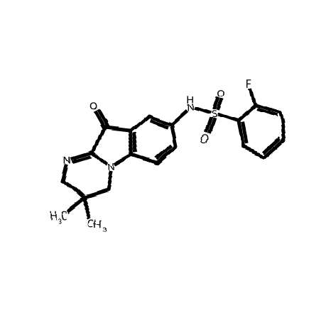 CC1(C)CN=C2C(=O)c3cc(NS(=O)(=O)c4ccccc4F)ccc3N2C1